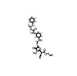 C=CCOC(=O)/C(C#N)=c1\sc(=C=CNc2cccc(NC(=O)CN(C)Cc3ccccc3)c2)c(=O)n1CC